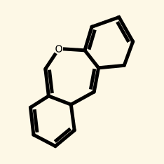 C1=CCC2=CC3C=CC=CC3=COC2=C1